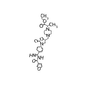 CCOC(=O)C(C)N1CCN(CC2CN(c3ccc(C(=N)NC(=O)c4ccoc4)cc3)C(=O)O2)CC1